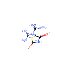 N=C(N)NC(=N)N.O=C1CSC(=O)N1